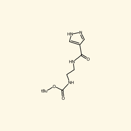 CC(C)(C)OC(=O)NCCNC(=O)c1cn[nH]c1